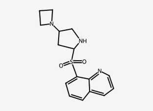 O=S(=O)(c1cccc2cccnc12)C1CC(N2CCC2)CN1